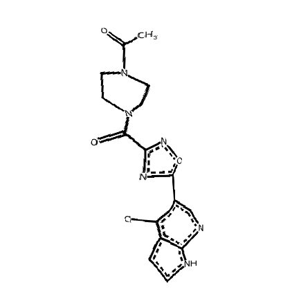 CC(=O)N1CCN(C(=O)c2noc(-c3cnc4[nH]ccc4c3Cl)n2)CC1